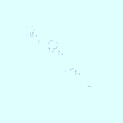 CC(C)(C)OC(=O)C1(C)CCN(C(=O)CC2CCN(c3ccc(C4CCC(=O)NC4=O)cn3)CC2)CC1